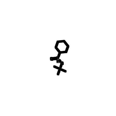 C[Si](C)(C)O[PH](=O)C1CCCCC1